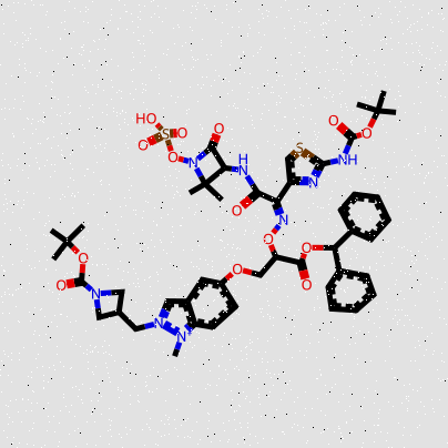 C[n+]1c2ccc(OCC(O/N=C(\C(=O)NC3C(=O)N(OS(=O)(=O)O)C3(C)C)c3csc(NC(=O)OC(C)(C)C)n3)C(=O)OC(c3ccccc3)c3ccccc3)cc2cn1CC1CN(C(=O)OC(C)(C)C)C1